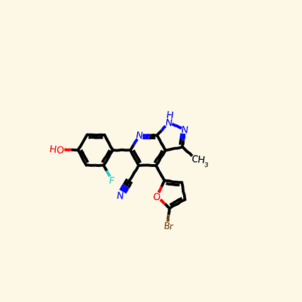 Cc1n[nH]c2nc(-c3ccc(O)cc3F)c(C#N)c(-c3ccc(Br)o3)c12